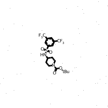 CC(C)(C)OC(=O)N1CCC(NS(=O)(=O)c2cc(C(F)(F)F)cc(C(F)(F)F)c2)CC1